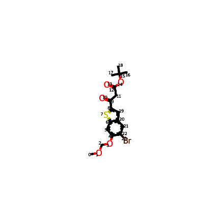 COCOc1cc2sc(C(=O)CC(=O)OC(C)(C)C)cc2cc1Br